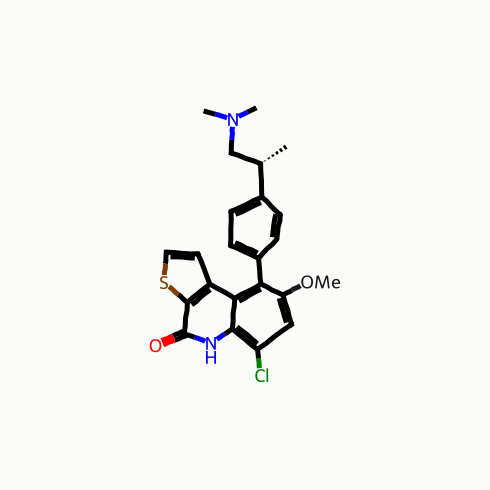 COc1cc(Cl)c2[nH]c(=O)c3sccc3c2c1-c1ccc([C@@H](C)CN(C)C)cc1